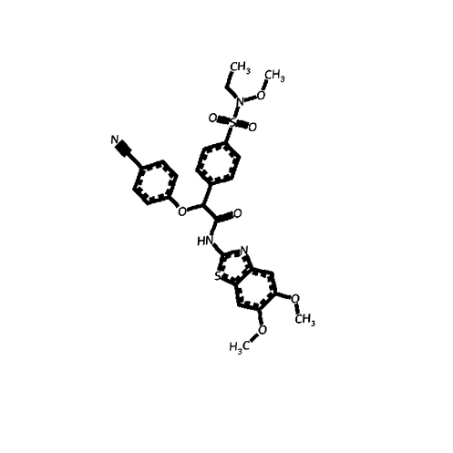 CCN(OC)S(=O)(=O)c1ccc(C(Oc2ccc(C#N)cc2)C(=O)Nc2nc3cc(OC)c(OC)cc3s2)cc1